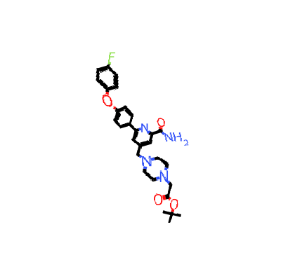 CC(C)(C)OC(=O)CN1CCN(Cc2cc(C(N)=O)nc(-c3ccc(Oc4ccc(F)cc4)cc3)c2)CC1